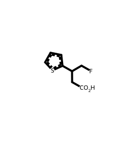 O=C(O)CC(CF)c1cccs1